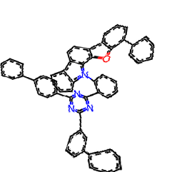 c1ccc(-c2ccc(-c3nc(-c4cccc(-c5ccccc5)c4)nc(-c4ccccc4-n4c5ccccc5c5ccc6c7cccc(-c8ccccc8)c7oc6c54)n3)cc2)cc1